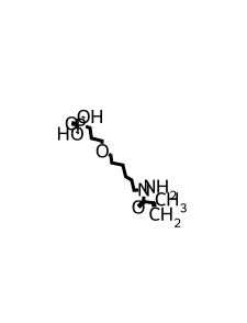 C=C(C)C(=O)N(N)CCCCCCOCCCP(=O)(O)O